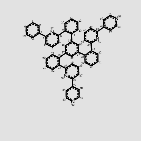 c1ccc(-c2cccc(-c3ccccc3-c3cc(-c4ccccc4-c4cccc(-c5ccncc5)n4)cc(-c4ccccc4-c4cccc(-c5ccncc5)n4)c3)n2)cc1